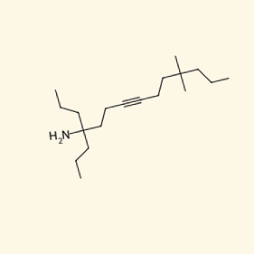 CCCC(C)(C)CCC#CCCC(N)(CCC)CCC